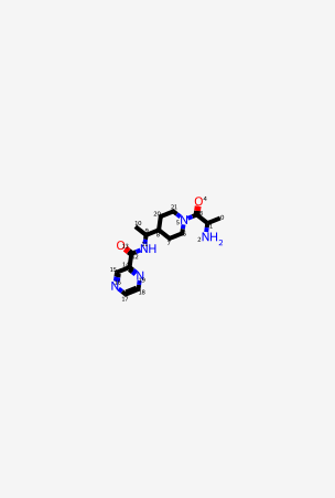 CC(N)C(=O)N1CCC(C(C)NC(=O)c2cnccn2)CC1